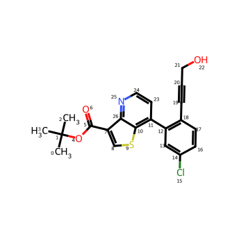 CC(C)(C)OC(=O)c1csc2c(-c3cc(Cl)ccc3C#CCO)ccnc12